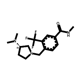 CNC(=O)c1ccc(CN2CC[C@H](N(C)C)C2)c(C(F)(F)F)c1